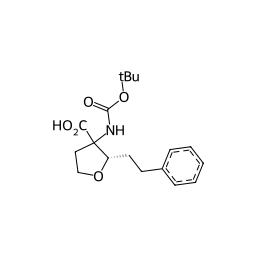 CC(C)(C)OC(=O)NC1(C(=O)O)CCO[C@H]1CCc1ccccc1